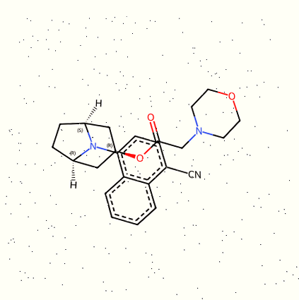 N#Cc1ccc(N2[C@@H]3CC[C@H]2C[C@@H](OC(=O)CN2CCOCC2)C3)c2ccccc12